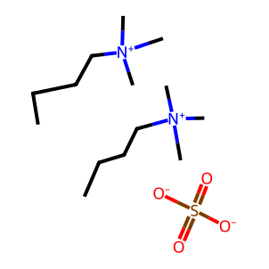 CCCC[N+](C)(C)C.CCCC[N+](C)(C)C.O=S(=O)([O-])[O-]